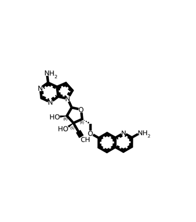 C#C[C@@]1(O)[C@@H](COc2ccc3ccc(N)nc3c2)OC(n2ccc3c(N)ncnc32)[C@@H]1O